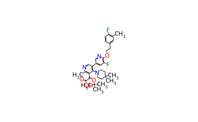 Cc1cc(CCOc2ncc(-c3cnc(C)c([C@H](OC(C)(C)C)C(=O)O)c3N3CCC(C)(C)CC3)cc2F)ccc1F